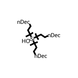 CCCCCCCCCCCCC(C)(C)[Si](O)(C(C)(C)CCCCCCCCCCCC)C(C)(C)CCCCCCCCCCCC